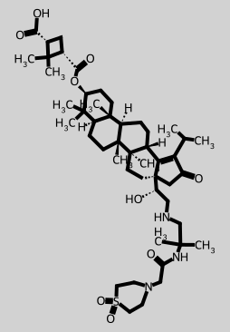 CC(C)C1=C2[C@H]3CC[C@@H]4[C@@]5(C)CC[C@H](OC(=O)[C@H]6C[C@@H](C(=O)O)C6(C)C)C(C)(C)[C@@H]5CC[C@@]4(C)[C@]3(C)CC[C@@]2([C@@H](O)CNCC(C)(C)NC(=O)CN2CCS(=O)(=O)CC2)CC1=O